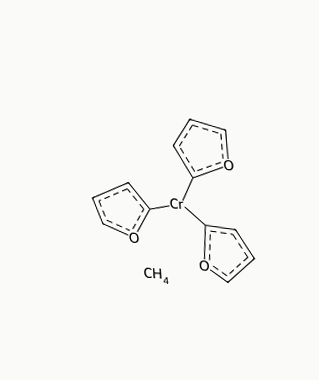 C.c1co[c]([Cr]([c]2ccco2)[c]2ccco2)c1